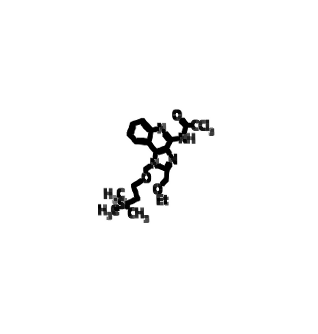 CCOCc1nc2c(NC(=O)C(Cl)(Cl)Cl)nc3ccccc3c2n1COCC[Si](C)(C)C